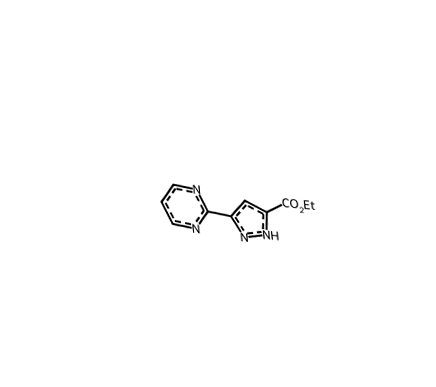 CCOC(=O)c1cc(-c2ncccn2)n[nH]1